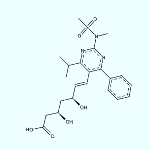 CC(C)c1nc(N(C)S(C)(=O)=O)nc(-c2ccccc2)c1/C=C/[C@@H](O)C[C@@H](O)CC(=O)O